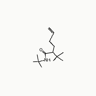 C=CCCC(C(=O)NC(C)(C)C)C(C)(C)C